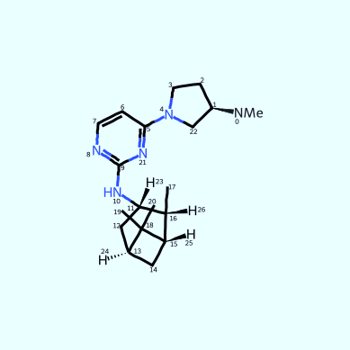 CN[C@@H]1CCN(c2ccnc(N[C@H]3C[C@@H]4C[C@@H]([C@H]3C)C4(C)C)n2)C1